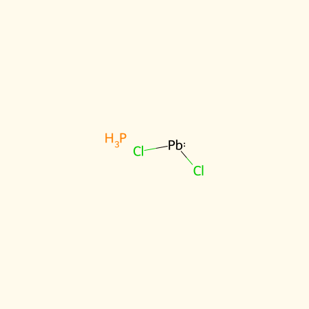 P.[Cl][Pb][Cl]